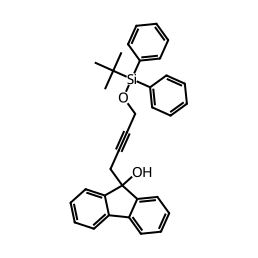 CC(C)(C)[Si](OCC#CCC1(O)c2ccccc2-c2ccccc21)(c1ccccc1)c1ccccc1